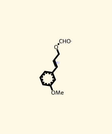 COc1cccc(/C=C/CO[C]=O)c1